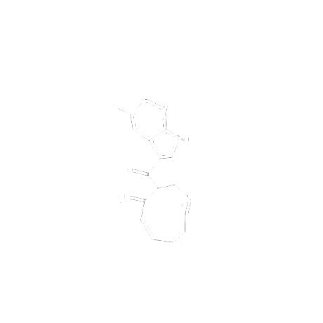 C=C1\C=C/C=C\C=N\CC1C(=O)c1c[nH]c2ncc(Br)cc12